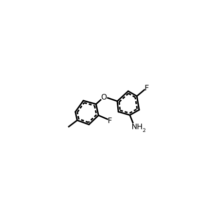 Cc1ccc(Oc2cc(N)cc(F)c2)c(F)c1